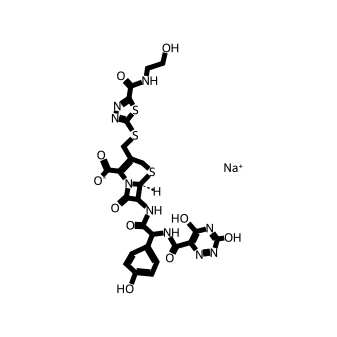 O=C([O-])C1=C(CSc2nnc(C(=O)NCCO)s2)CS[C@H]2C(NC(=O)C(NC(=O)c3nnc(O)nc3O)c3ccc(O)cc3)C(=O)N12.[Na+]